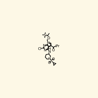 CC(C)C(=O)c1cn(COC(C)[Si](C)(C)C)c2nc(Cl)nc(NC3CCCN(S(=O)(=O)C4CC4)C3)c12